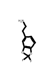 NCCc1ccc2c(c1)OC(F)(F)O2